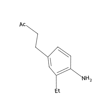 CCc1cc(CCC(C)=O)ccc1N